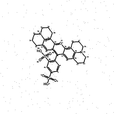 O=S(=O)(O)c1ccc(-c2c3cc4c5c(c3[o+]c3c6c7c(cc23)CCCN7CCC6)CCCN5CCC4)c(S(=O)(=O)O)c1